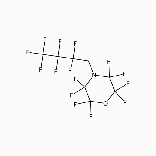 FC(F)(F)C(F)(F)C(F)(F)CN1C(F)(F)C(F)(F)OC(F)(F)C1(F)F